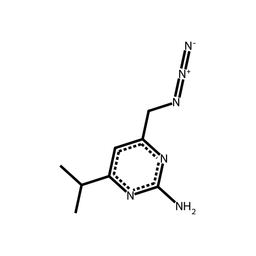 CC(C)c1cc(CN=[N+]=[N-])nc(N)n1